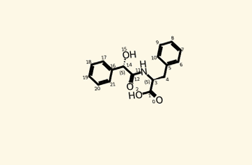 O=C(O)[C@H](Cc1ccccc1)NC(=O)[C@@H](O)c1ccccc1